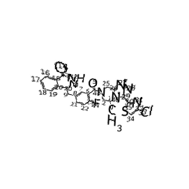 CC1CN(C(=O)c2cc(Cc3n[nH]c(=O)c4ccccc34)ccc2F)Cc2nnc(-c3nc(Cl)cs3)n21